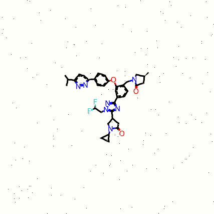 CC(C)c1ccc(-c2ccc(Oc3cc(-c4nc(C5CC(=O)N(C6CC6)C5)n(CC(F)F)n4)ccc3CN3C[C@@H](C)CC3=O)cc2)nn1